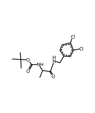 CC(NC(=O)OC(C)(C)C)C(=O)NCc1ccc(Cl)c(Cl)c1